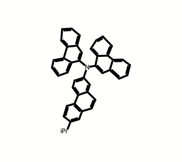 CC(C)c1ccc2c(ccc3cc(N(c4cc5ccccc5c5ccccc45)c4cc5ccccc5c5ccccc45)ccc32)c1